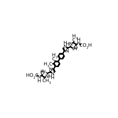 Cc1c(-c2ccc(-c3c[nH]c(C(NC(C)C(=O)NC(=O)O)C(C)C)n3)cc2)ccc(-c2c[nH]c([C@@H](NC(C)C(=O)NC(=O)O)C(C)C)n2)c1C